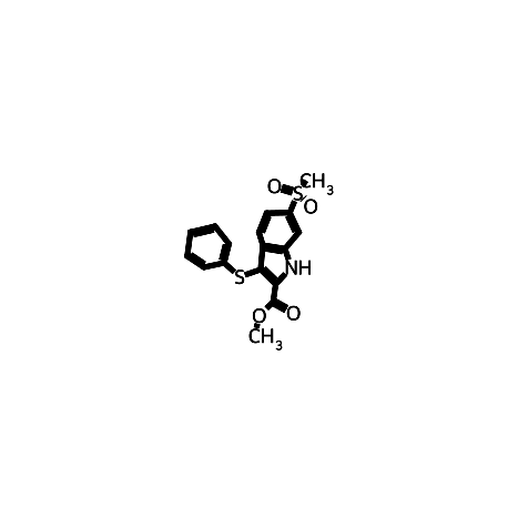 COC(=O)c1[nH]c2cc(S(C)(=O)=O)ccc2c1Sc1ccccc1